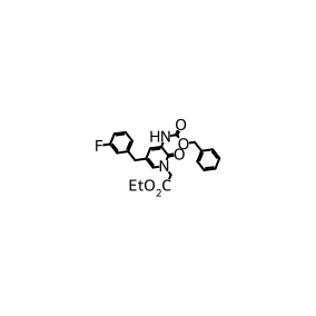 CCOC(=O)Cn1cc(Cc2cccc(F)c2)cc(NC(=O)OCc2ccccc2)c1=O